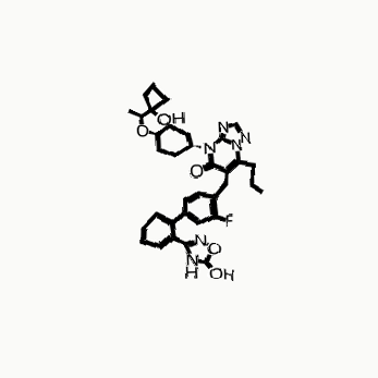 CCCc1c(Cc2ccc(-c3ccccc3C3=NOC(O)N3)cc2F)c(=O)n([C@H]2CC[C@H](OC(C)C3(O)CCC3)CC2)c2ncnn12